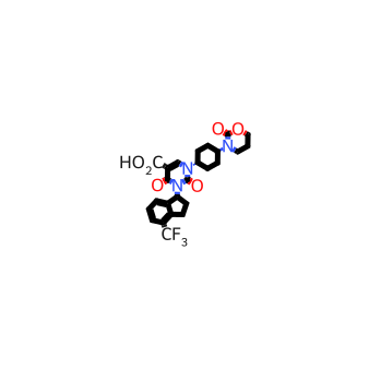 O=C(O)c1cn([C@H]2CC[C@H](N3CCCOC3=O)CC2)c(=O)n(C2CCc3c2cccc3C(F)(F)F)c1=O